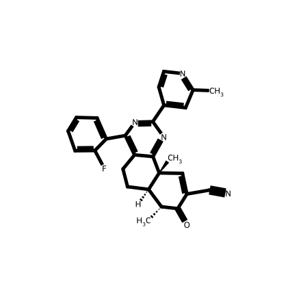 Cc1cc(-c2nc(-c3ccccc3F)c3c(n2)[C@]2(C)C=C(C#N)C(=O)[C@H](C)[C@H]2CC3)ccn1